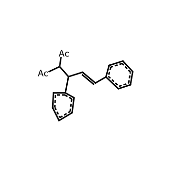 CC(=O)C(C(C)=O)C(/C=C/c1ccccc1)c1ccccc1